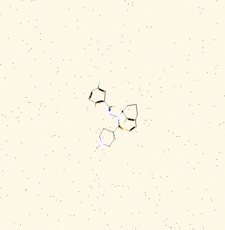 CN1CCC(C(=O)N2N=C(c3cc(F)ccc3F)SC23CCCc2ccsc23)CC1